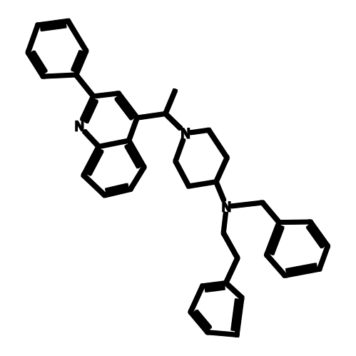 CC(c1cc(-c2ccccc2)nc2ccccc12)N1CCC(N(CCc2ccccc2)Cc2ccccc2)CC1